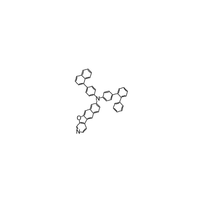 c1ccc(-c2ccccc2-c2ccc(N(c3ccc(-c4cccc5ccccc45)cc3)c3ccc4cc5c(cc4c3)oc3cnccc35)cc2)cc1